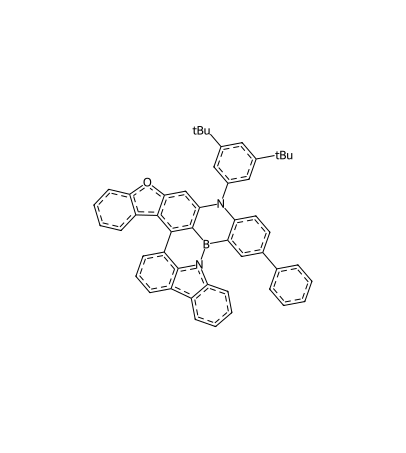 CC(C)(C)c1cc(N2c3ccc(-c4ccccc4)cc3B3c4c2cc2oc5ccccc5c2c4-c2cccc4c5ccccc5n3c24)cc(C(C)(C)C)c1